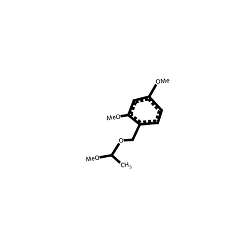 COc1ccc(COC(C)OC)c(OC)c1